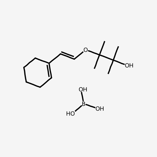 CC(C)(O)C(C)(C)O/C=C/C1=CCCCC1.OB(O)O